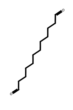 O=[C]CCCCCCCCCC[C]=O